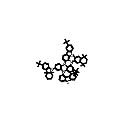 Cc1cc2c(cc1N1c3cc(C(C)(C)C)cc4c3B(c3ccc(N5c6ccc(C(C)(C)C)cc6C6(C)CCCCC56C)cc3N4c3cccc4sc5ccc(C(C)(C)C)cc5c34)c3ccc4c(sc5ccc(C(C)(C)C)cc54)c31)C(C)(C)CCC2(C)C